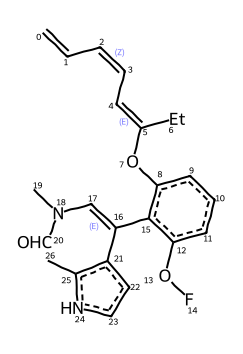 C=C/C=C\C=C(/CC)Oc1cccc(OF)c1/C(=C/N(C)C=O)c1cc[nH]c1C